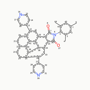 Cc1cc(C)c(-n2c(=O)c3c4cc(-c5ccncc5)c5ccc6ccc7c(-c8ccncc8)cc(c3c2=O)c2c7c6c5c42)c(C)c1